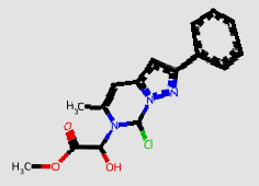 COC(=O)C(O)N1C(C)=Cc2cc(-c3ccccc3)nn2C1Cl